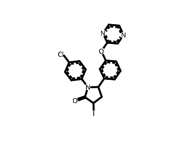 O=C1C(I)CC(c2cccc(Oc3cnccn3)c2)N1c1ccc(Cl)cc1